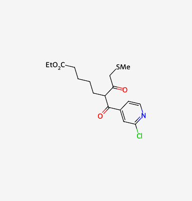 CCOC(=O)CCCCC(C(=O)CSC)C(=O)c1ccnc(Cl)c1